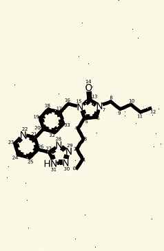 CCCCCc1cn(CCCCC)c(=O)n1Cc1ccc(-c2ncccc2-c2nnn[nH]2)cc1